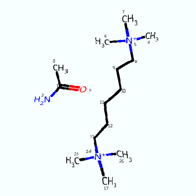 CC(N)=O.C[N+](C)(C)CCCCCC[N+](C)(C)C